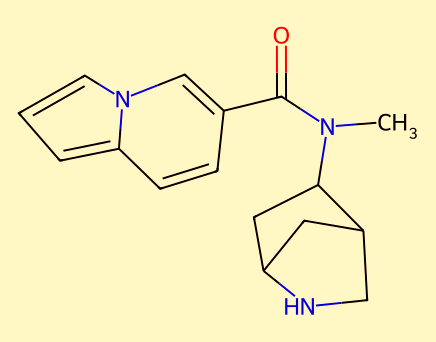 CN(C(=O)c1ccc2cccn2c1)C1CC2CC1CN2